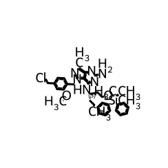 CCC[C@@H](CCO[Si](c1ccccc1)(c1ccccc1)C(C)(C)C)Nc1nc(N)nc2c(C)nn(Cc3ccc(CCl)cc3OC)c12